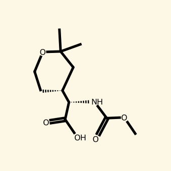 COC(=O)N[C@H](C(=O)O)[C@@H]1CCOC(C)(C)C1